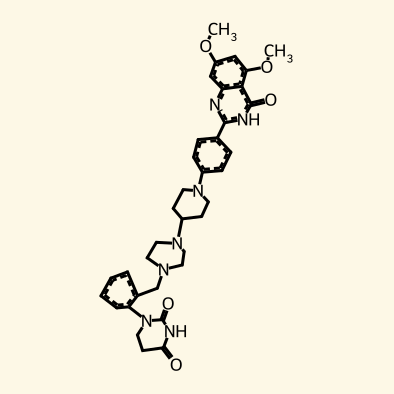 COc1cc(OC)c2c(=O)[nH]c(-c3ccc(N4CCC(N5CCN(Cc6ccccc6N6CCC(=O)NC6=O)CC5)CC4)cc3)nc2c1